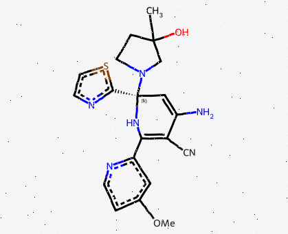 COc1ccnc(C2=C(C#N)C(N)=C[C@](c3nccs3)(N3CCC(C)(O)C3)N2)c1